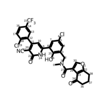 CN(Cc1cc(Cl)cc(-c2cc(-c3cc(C(F)(F)F)ccc3Cl)c(C#N)c(=O)[nH]2)c1O)C(=O)c1coc2c1C(=O)CCC2